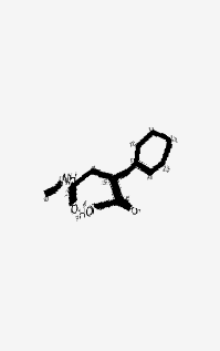 CNC(=O)CC(C(=O)O)C1CCCCC1